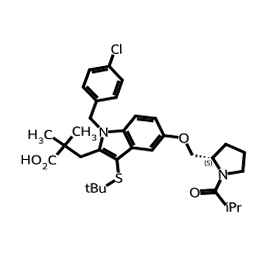 CC(C)C(=O)N1CCC[C@H]1COc1ccc2c(c1)c(SC(C)(C)C)c(CC(C)(C)C(=O)O)n2Cc1ccc(Cl)cc1